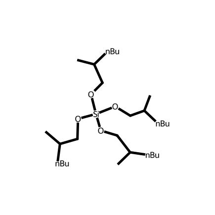 CCCCC(C)CO[Si](OCC(C)CCCC)(OCC(C)CCCC)OCC(C)CCCC